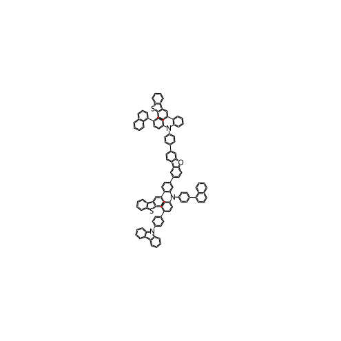 c1ccc(N(c2ccc(-c3ccc4c(c3)oc3ccc(-c5ccc(-c6ccc7sc8ccccc8c7c6)c(N(c6ccc(-c7ccc(-n8c9ccccc9c9ccccc98)cc7)cc6)c6ccc(-c7cccc8ccccc78)cc6)c5)cc34)cc2)c2ccc(-c3cccc4ccccc34)cc2)c(-c2ccc3sc4ccccc4c3c2)c1